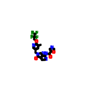 Cc1cc(CN2Cc3c(ccnc3NC(=O)c3cnco3)C2=O)cnc1OCC(F)(F)C(F)F